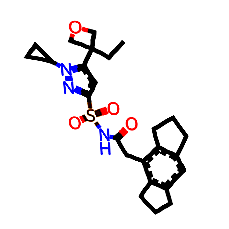 CCC1(c2cc(S(=O)(=O)NC(=O)Cc3c4c(cc5c3CCC5)CCC4)nn2C2CC2)COC1